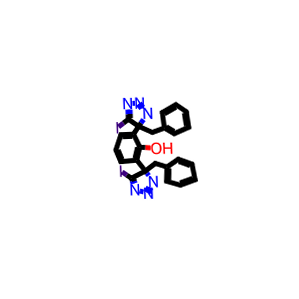 Oc1c(C2(Cc3ccccc3)N=NN=C2I)cccc1C1(Cc2ccccc2)N=NN=C1I